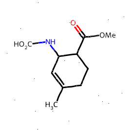 COC(=O)C1CCC(C)=CC1NC(=O)O